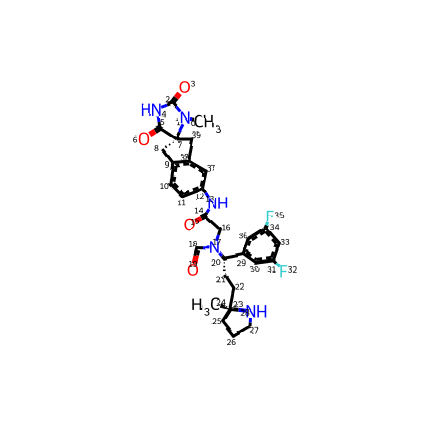 CN1C(=O)NC(=O)[C@@]12Cc1ccc(NC(=O)CN(C=O)[C@@H](CC[C@@]3(C)CCCN3)c3cc(F)cc(F)c3)cc1C2